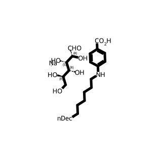 CCCCCCCCCCCCCCCCNc1ccc(C(=O)O)cc1.O=C[C@H](O)[C@@H](O)[C@H](O)[C@H](O)CO.[Na]